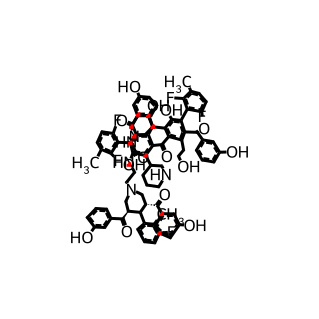 Cc1ccc(F)c(-c2c(O)c(C3CCCNC3)c(C(=O)c3c(CCO)c(C(=O)c4cccc(O)c4)c(-c4c(F)ccc(C)c4F)c(O)c3C3CCCN(NC(=O)NCCN4C[C@H](C(=O)c5cccc(O)c5)C(c5cccc(F)c5C)[C@@H](C(=O)c5cccc(O)c5)C4)C3)c(CCO)c2C(=O)c2cccc(O)c2)c1F